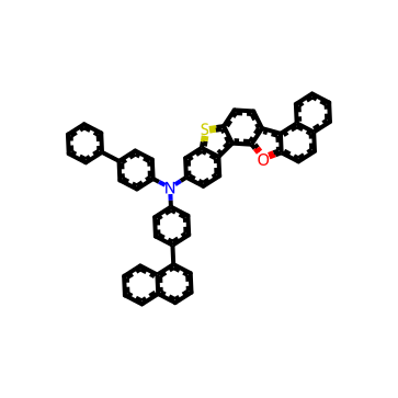 c1ccc(-c2ccc(N(c3ccc(-c4cccc5ccccc45)cc3)c3ccc4c(c3)sc3ccc5c(oc6ccc7ccccc7c65)c34)cc2)cc1